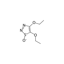 CCOc1nn[s+]([O-])c1OCC